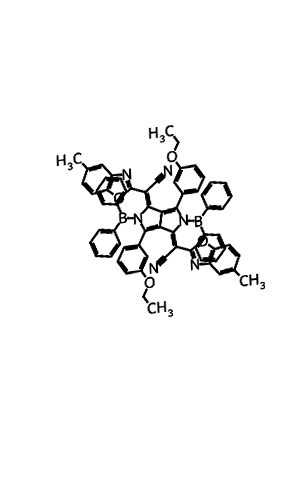 CCOc1cccc(-c2c3/c(=C(\C#N)c4nc5cc(C)ccc5o4)n(B(c4ccccc4)c4ccccc4)c(-c4cccc(OCC)c4)c3/c(=C(\C#N)c3nc4cc(C)ccc4o3)n2B(c2ccccc2)c2ccccc2)c1